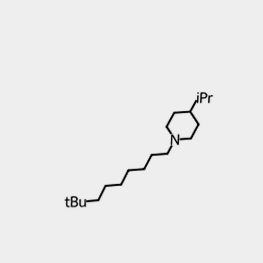 CC(C)C1CCN(CCCCCCCC(C)(C)C)CC1